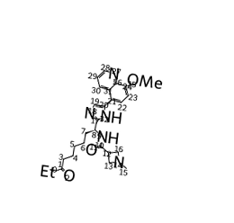 CCC(=O)CCCCC[C@H](NC(=O)C1CN(C)C1)c1ncc(-c2ccc(OC)c3ncccc23)[nH]1